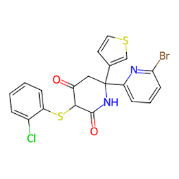 O=C1CC(c2ccsc2)(c2cccc(Br)n2)NC(=O)C1Sc1ccccc1Cl